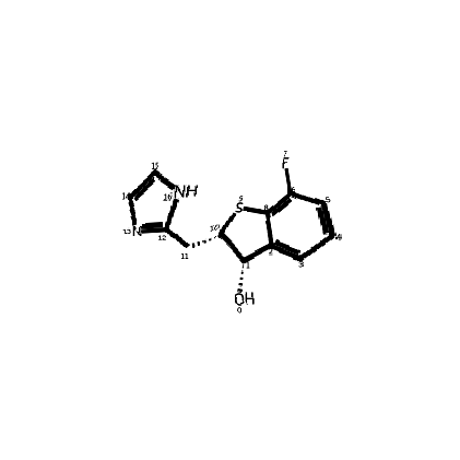 O[C@H]1c2cccc(F)c2S[C@H]1Cc1ncc[nH]1